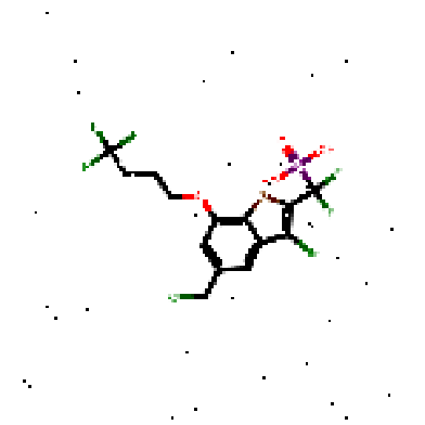 O=P(O)(O)C(F)(F)c1sc2c(OCCCC(F)(F)F)cc(CCl)cc2c1Br